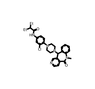 CCC(CC)C(=O)Nc1ccc(N2CCN(C3c4cnccc4C(=O)N(C)c4ccccc43)CC2)c(Cl)c1